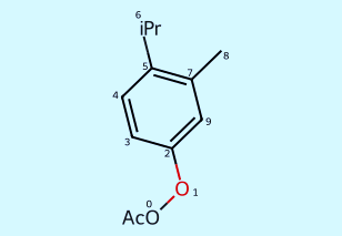 CC(=O)OOc1ccc(C(C)C)c(C)c1